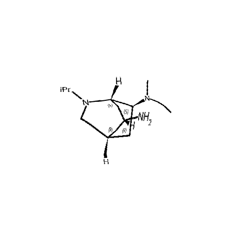 CC(C)N1C[C@H]2C[C@H](N(C)C)[C@@H]1[C@@H]2N